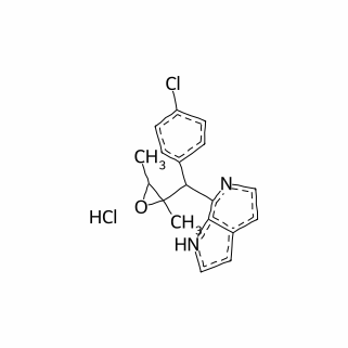 CC1OC1(C)C(c1ccc(Cl)cc1)c1nccc2cc[nH]c12.Cl